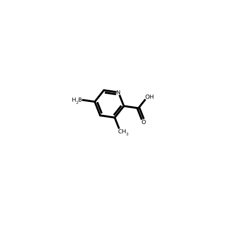 Bc1cnc(C(=O)O)c(C)c1